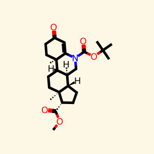 COC(=O)[C@H]1CC[C@H]2[C@@H]3CN(C(=O)OC(C)(C)C)C4=CC(=O)CC[C@]4(C)[C@H]3CC[C@]12C